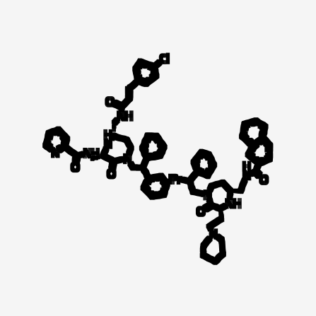 CC(C)C(CN1CC[C@@H](CNC(=O)c2ccc3ccccc3c2)N[C@@H](CCN2CCCCC2)C1=O)c1ccccc1.O=C(C=Cc1ccc(Cl)cc1)NC[C@@H]1CCN(CC(c2ccccc2)c2ccccc2)C(=O)[C@H](CNC(=O)c2ccccn2)N1